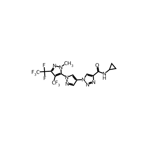 Cn1nc(C(F)(F)C(F)(F)F)c(C(F)(F)F)c1-n1cc(-n2cc(C(=O)NC3CC3)nn2)cn1